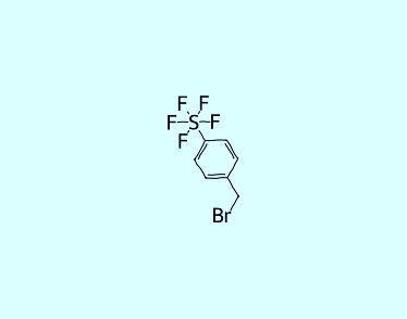 FS(F)(F)(F)(F)c1ccc(CBr)cc1